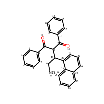 O=C(c1ccccc1)C(C(=O)c1ccccc1)C(C[N+](=O)[O-])c1cccc2ccccc12